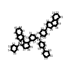 c1ccc(-c2ccc(N(c3ccc(-c4ccc5c(ccc6ccccc65)c4)cc3)c3cccc(-c4cccc5c4c4cc6ccccc6cc4n5-c4ccccc4)c3)cc2)cc1